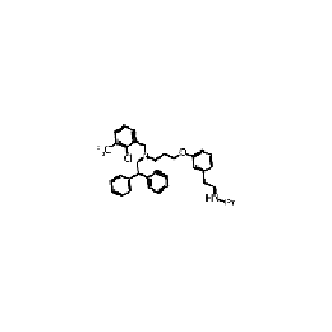 CC(C)NCCc1cccc(OCCCN(Cc2cccc(C(F)(F)F)c2Cl)CC(c2ccccc2)c2ccccc2)c1